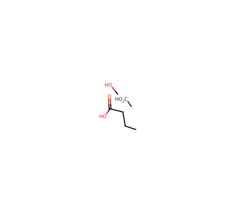 CC(=O)O.CCCC(=O)O.CO